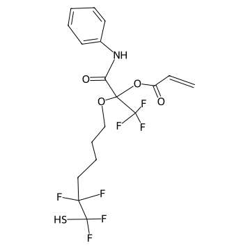 C=CC(=O)OC(OCCCCC(F)(F)C(F)(F)S)(C(=O)Nc1ccccc1)C(F)(F)F